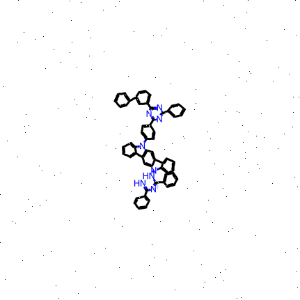 N=C(/N=C(\Nn1c2ccccc2c2cc3c(cc21)c1ccccc1n3-c1ccc(-c2nc(-c3ccccc3)nc(-c3cccc(-c4ccccc4)c3)n2)cc1)c1ccccc1)c1ccccc1